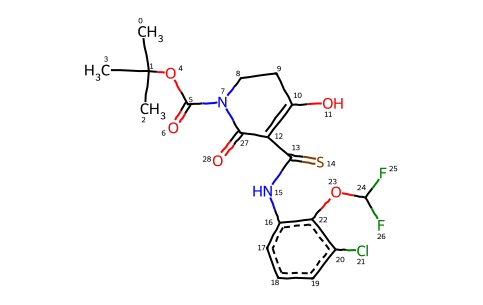 CC(C)(C)OC(=O)N1CCC(O)=C(C(=S)Nc2cccc(Cl)c2OC(F)F)C1=O